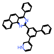 C1=CNCC(c2cc(-c3ccccc3)cc(-c3nc(-c4ccccc4)c4ccc5ccccc5c4n3)c2)=C1